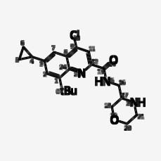 CC(C)(C)c1cc(C2CC2)cc2c(Cl)cc(C(=O)NCC3COCCN3)nc12